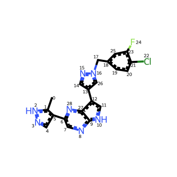 Cc1[nH]ncc1-c1cnc2[nH]cc(-c3cnn(Cc4ccc(Cl)c(F)c4)c3)c2n1